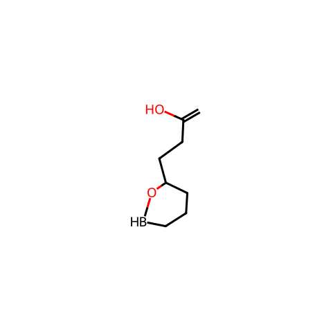 C=C(O)CCC1CCCBO1